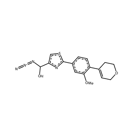 COc1cc(-c2nc(C(O)N=[N+]=[N-])cs2)ccc1C1=CCOCC1